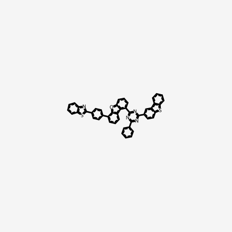 c1ccc(-c2nc(-c3ccc4sc5ccccc5c4c3)nc(-c3cccc4oc5c(-c6ccc(-c7nc8ccccc8s7)cc6)cccc5c34)n2)cc1